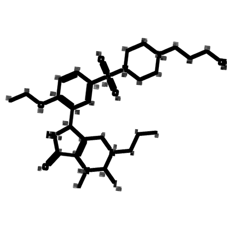 CCCN1CC2=C(C(=O)NC2c2cc(S(=O)(=O)N3CCN(CCCO)CC3)ccc2OCC)N(C)C1I